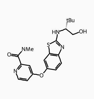 CNC(=O)c1cc(Oc2ccc3nc(N[C@@H](CO)C(C)(C)C)sc3c2)ccn1